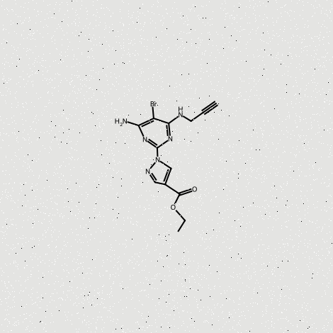 C#CCNc1nc(-n2cc(C(=O)OCC)cn2)nc(N)c1Br